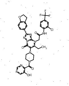 CCc1c(N2CCN(C(=O)c3ncncc3O)CC2)c(=O)n2nc(-c3ccc4c(c3)CCO4)nc2n1CC(=O)Nc1ccc(C(F)(F)F)cc1Cl